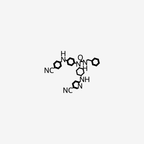 N#Cc1ccc(Nc2ccc(N(C(=O)NCc3ccccc3)[C@H]3CC[C@H](Nc4ccc(C#N)cn4)CC3)cc2)cc1